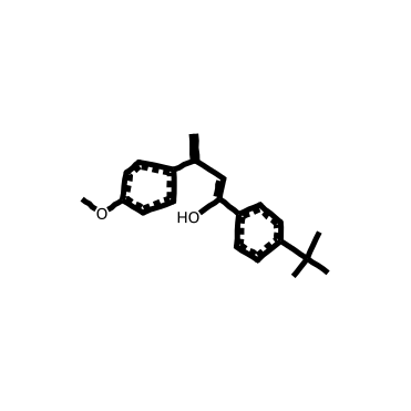 C=C(/C=C(\O)c1ccc(C(C)(C)C)cc1)c1ccc(OC)cc1